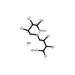 CCCCCC(CC)C(CC)C(CC)[CH2][Al][CH2]C(CC)C(CC)C(CC)CCCCC.[HH]